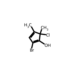 CC1=CC(Br)=C(O)C1(C)Cl